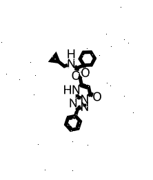 O=C(NCC1CC1)C1(OCc2cc(=O)n3nc(-c4ccccc4)nc3[nH]2)CCCCC1